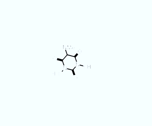 CNC1C(=O)N(C)C(=O)N(C)C1=O